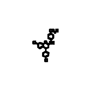 O=C(CC(c1ccc(Cl)cc1)c1ccc(Cl)cc1)Nc1ccc(C(=O)O)cc1